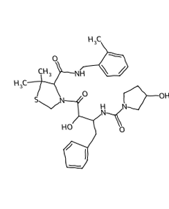 Cc1ccccc1CNC(=O)C1N(C(=O)C(O)C(Cc2ccccc2)NC(=O)N2CCC(O)C2)CSC1(C)C